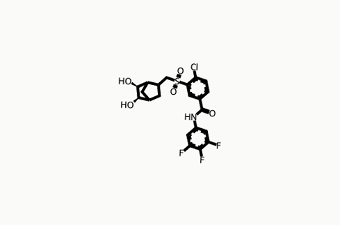 O=C(Nc1cc(F)c(F)c(F)c1)c1ccc(Cl)c(S(=O)(=O)CC2CC3CC2[C@H](O)[C@@H]3O)c1